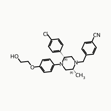 C[C@@H]1CN(c2ccc(OCCO)cc2)[C@H](c2ccc(Cl)cc2)CN1Cc1ccc(C#N)cc1